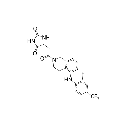 O=C1NC(=O)C(CC(=O)N2CCc3c(cccc3Nc3ccc(C(F)(F)F)cc3F)C2)N1